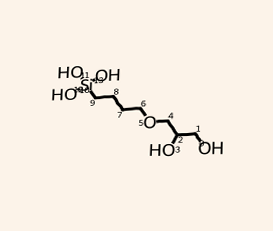 OCC(O)COCCCC[Si](O)(O)O